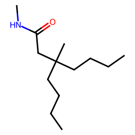 CCCCC(C)(CCCC)CC(=O)NC